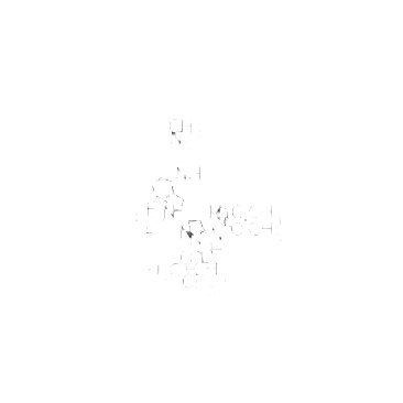 CN1CCC(Nc2cccc3c2cc(-c2cc(NC(=O)OC(C)(C)C)n(C(=O)OC(C)(C)C)n2)n3CC(F)(F)F)CC1